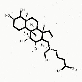 CC(C)CCC[C@@H](CO)[C@H]1CC[C@H]2[C@@H]3CC[C@@H]4[C@H](O)[C@H](O)CC[C@]4(C)[C@H]3[C@@H](O)[C@@H](O)[C@]12C